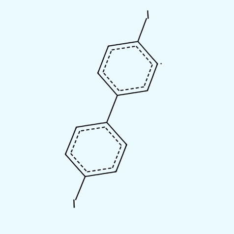 Ic1[c]cc(-c2ccc(I)cc2)cc1